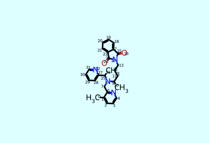 Cc1cccnc1CN(C(C)CCCN1C(=O)c2ccccc2C1=O)C(C)c1ccccn1